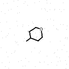 CC1[C]COCC1